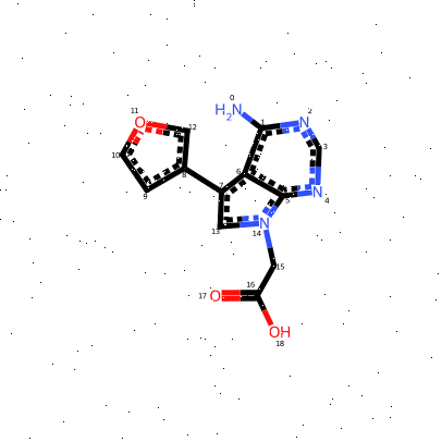 Nc1ncnc2c1c(-c1ccoc1)cn2CC(=O)O